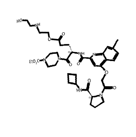 CCOC(=O)N1CCN(C(=O)[C@H](CCC(=O)OCCNCCO)NC(=O)c2cc(OCC(=O)N3CCC[C@H]3C(=O)NC3CCC3)c3ccc(C)cc3n2)CC1